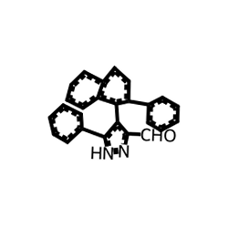 O=Cc1n[nH]c(-c2ccccc2)c1-c1c(-c2ccccc2)ccc2ccccc12